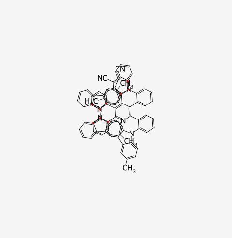 Cc1ccc2c(c1)c1ccccc1n2-c1ccccc1-c1nc(-c2ccccc2-n2c3ccccc3c3cc(C)ccc32)c(-c2ccccc2-n2c3ccccc3c3cc(C)ccc32)c(-c2ccc(C#N)c(C#N)c2)c1-c1ccccc1-n1c2ccccc2c2cc(C)ccc21